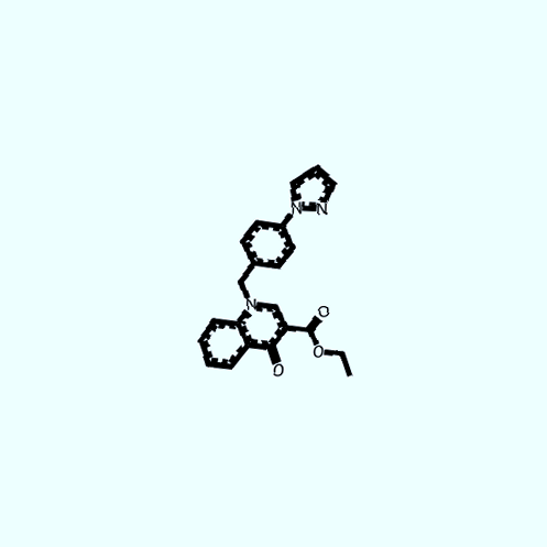 CCOC(=O)c1cn(Cc2ccc(-n3cccn3)cc2)c2ccccc2c1=O